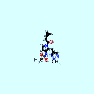 Cn1cc(C[C@H]2C(NS(C)(=O)=O)CCN2C(=O)CC2CC2)cn1